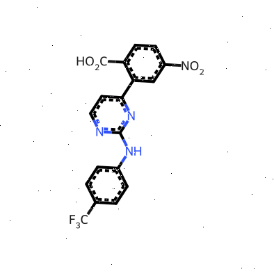 O=C(O)c1ccc([N+](=O)[O-])cc1-c1ccnc(Nc2ccc(C(F)(F)F)cc2)n1